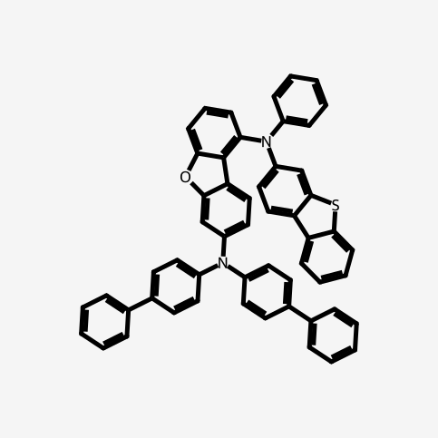 c1ccc(-c2ccc(N(c3ccc(-c4ccccc4)cc3)c3ccc4c(c3)oc3cccc(N(c5ccccc5)c5ccc6c(c5)sc5ccccc56)c34)cc2)cc1